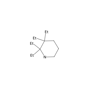 CCC1(CC)CCC[N]C1(CC)CC